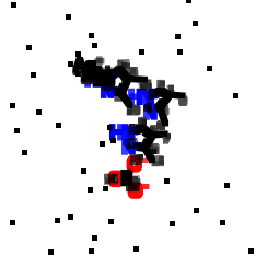 Cc1c[nH]nc1C.Cc1c[nH]nc1C.Cc1c[nH]nc1C.[Ag+].[Ag+].[Ag+].[O-]B([O-])[O-]